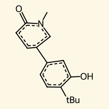 Cn1cc(-c2ccc(C(C)(C)C)c(O)c2)ccc1=O